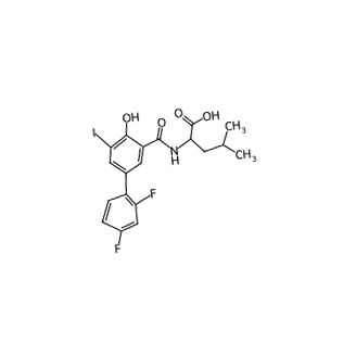 CC(C)CC(NC(=O)c1cc(-c2ccc(F)cc2F)cc(I)c1O)C(=O)O